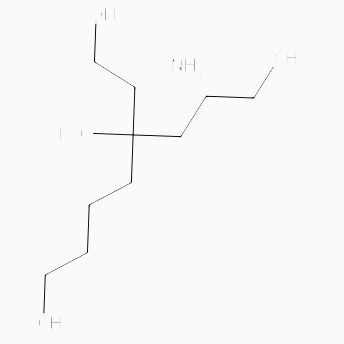 CCCCCC(C)(CCCC)[C@@H](N)CO